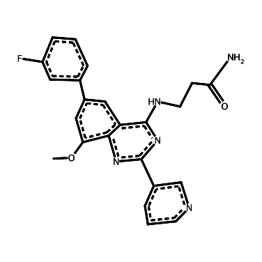 COc1cc(-c2cccc(F)c2)cc2c(NCCC(N)=O)nc(-c3cccnc3)nc12